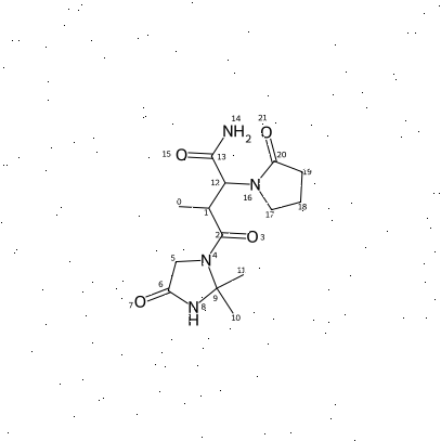 CC(C(=O)N1CC(=O)NC1(C)C)C(C(N)=O)N1CCCC1=O